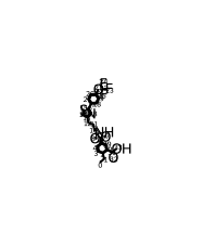 CCc1ccc(S(=O)(=O)NCCCc2csc(-c3ccc(OC(F)(F)F)cc3)n2)cc1C(=O)O